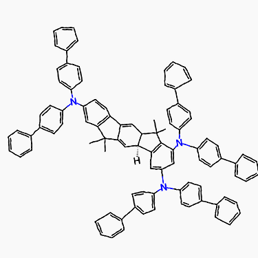 CC1(C)C2=C[C@@H]3c4cc(N(c5ccc(-c6ccccc6)cc5)c5ccc(-c6ccccc6)cc5)cc(N(c5ccc(-c6ccccc6)cc5)c5ccc(-c6ccccc6)cc5)c4C(C)(C)C3C=C2c2ccc(N(c3ccc(-c4ccccc4)cc3)c3ccc(-c4ccccc4)cc3)cc21